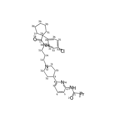 CC(C)C(=O)Nc1cccc(C2CCN(CCCNC(=O)C3(c4ccc(Cl)cc4)CCCCC3)CC2)n1